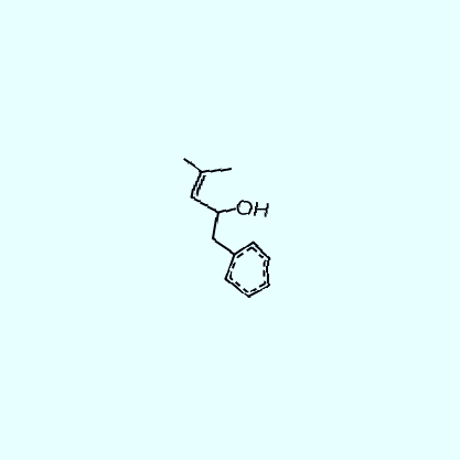 CC(C)=CC(O)Cc1ccccc1